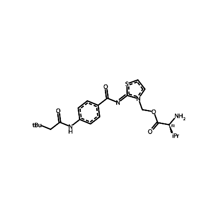 CC(C)[C@H](N)C(=O)OCn1ccsc1=NC(=O)c1ccc(NC(=O)CC(C)(C)C)cc1